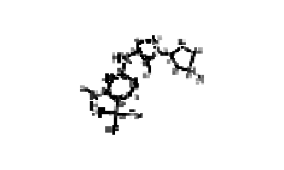 CNc1nc(Nc2cnn(C3CC[C@H](C)C3)c2C)ncc1C(F)(F)F